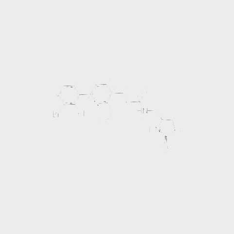 COc1nc(-c2cccc(Br)c2Cl)ccc1COC(=O)NCC1CCC(=O)N1